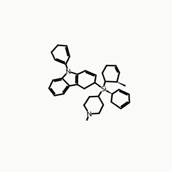 C[C@@H]1C=CCCC1[Si](C1C=Cc2c(c3ccccc3n2C2=CCCC=C2)C1)(C1CCN(C)CC1)[C@H]1C=CC=CC1